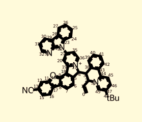 C=CC1C(C2c3ccc4c(oc5cc(C#N)ccc54)c3-c3cc(-n4c5ccccc5c5cccnc54)cc[n+]32)c2ccccc2-c2ccc(C(C)(C)C)c[n+]21